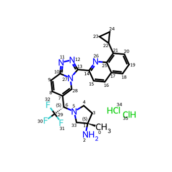 C[C@]1(N)CCN([C@@H](c2ccc3nnc(-c4ccc5cccc(C6CC6)c5n4)n3c2)C(F)(F)F)C1.Cl.Cl